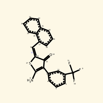 NC1=C(c2cccc(C(F)(F)F)c2)C(=O)/C(=C\c2cccc3ccccc23)S1